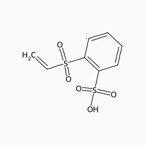 C=CS(=O)(=O)c1[c]cccc1S(=O)(=O)O